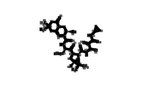 CCCCCCC[C@H](NC(=O)N[C@H](CN1C(=O)CC(C)(C)CC1=O)C(C)(C)C)C(=O)N1C[C@H]2C([C@H]1C(=O)NC(CC)C(=O)C(=O)NC1CC1)C2(C)C